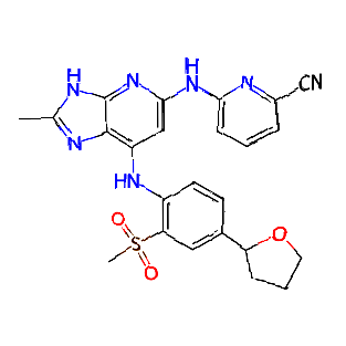 Cc1nc2c(Nc3ccc(C4CCCO4)cc3S(C)(=O)=O)cc(Nc3cccc(C#N)n3)nc2[nH]1